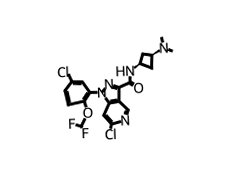 CN(C)[C@H]1C[C@@H](NC(=O)c2nn(-c3cc(Cl)ccc3OC(F)F)c3cc(Cl)ncc23)C1